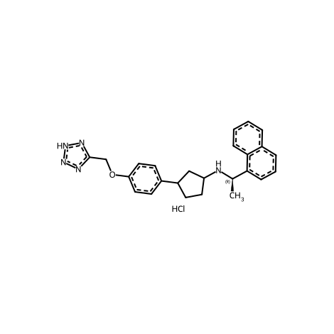 C[C@@H](NC1CCC(c2ccc(OCc3nn[nH]n3)cc2)C1)c1cccc2ccccc12.Cl